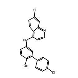 Oc1ccc(Nc2ccnc3cc(Cl)ccc23)cc1-c1ccc(Cl)cc1